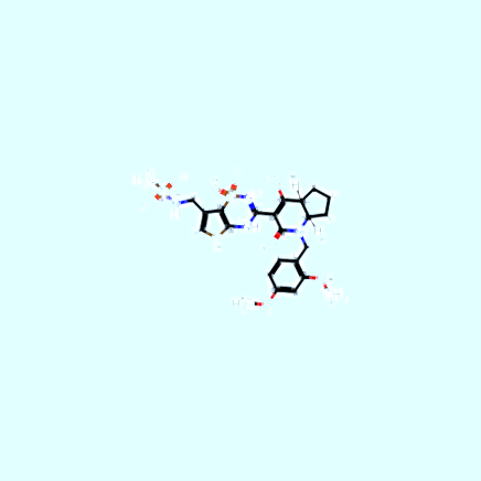 COc1ccc(CN2C(=O)C(C3=NS(=O)(=O)c4c(CNS(C)(=O)=O)csc4N3)=C(O)[C@@H]3CCC[C@@H]32)c(OC)c1